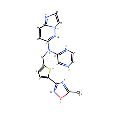 FC(F)(F)c1nc(-c2ccc(CN(c3cnccn3)c3ccc4nccn4n3)s2)no1